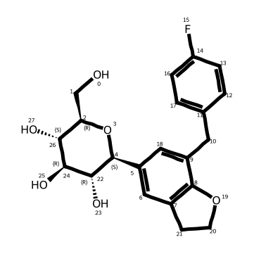 OC[C@H]1O[C@@H](c2cc3c(c(Cc4ccc(F)cc4)c2)OCC3)[C@H](O)[C@@H](O)[C@@H]1O